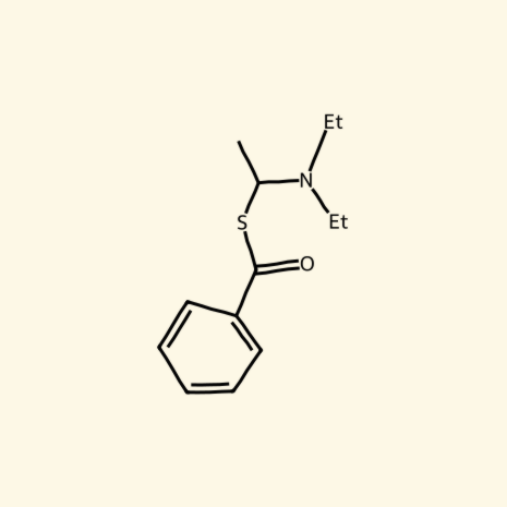 CCN(CC)C(C)SC(=O)c1ccccc1